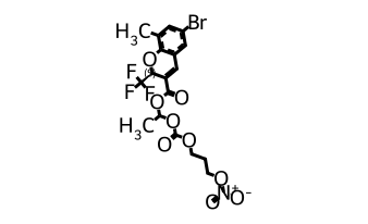 Cc1cc(Br)cc2c1O[C@H](C(F)(F)F)C(C(=O)OC(C)OC(=O)OCCCO[N+](=O)[O-])=C2